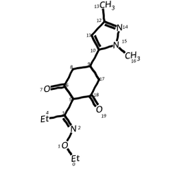 CCON=C(CC)C1C(=O)CC(c2cc(C)nn2C)CC1=O